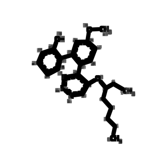 CCCCCC(CC)Oc1cnnnc1-c1ccc(OC)cc1-c1ccccc1O